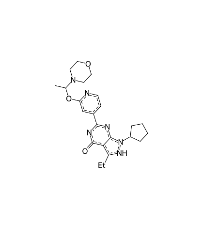 CCc1[nH]n(C2CCCC2)c2nc(-c3ccnc(OC(C)N4CCOCC4)c3)nc(=O)c1-2